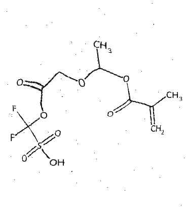 C=C(C)C(=O)OC(C)OCC(=O)OC(F)(F)S(=O)(=O)O